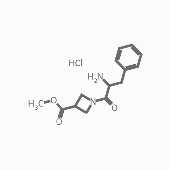 COC(=O)C1CN(C(=O)C(N)Cc2ccccc2)C1.Cl